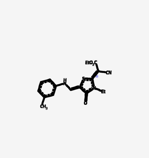 CCOC(=O)/C(C#N)=c1\sc(=CNc2cccc(C)c2)c(=O)n1CC